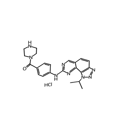 CC(C)n1nnc2ccc3cnc(Nc4ccc(C(=O)N5CCNCC5)cc4)nc3c21.Cl